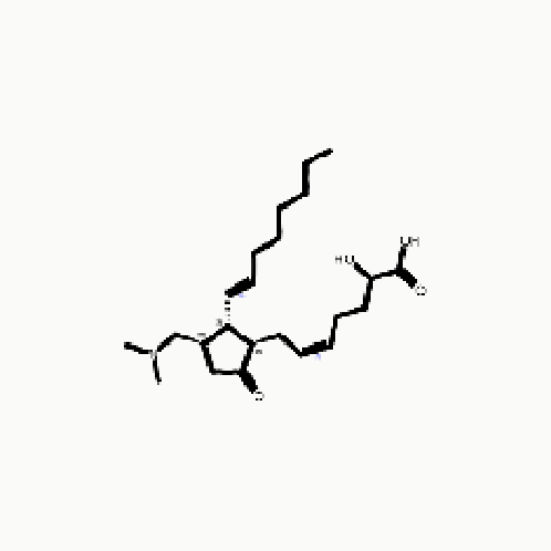 CCCCCC/C=C/[C@H]1[C@H](CN(C)C)CC(=O)[C@@H]1C/C=C\CCC(O)C(=O)O